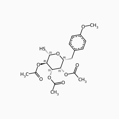 COc1ccc(C[C@H]2O[C@@H](S)[C@H](OC(C)=O)[C@@H](OC(C)=O)[C@H]2OC(C)=O)cc1